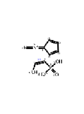 C/C=C\P(=O)(O)O.[N-]=[N+]=C1C=CC=C1